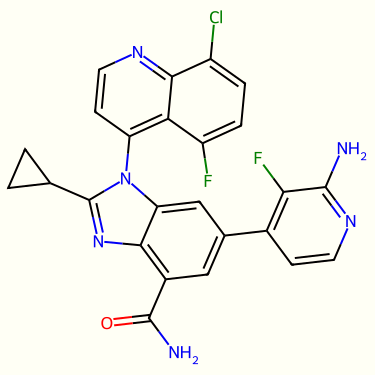 NC(=O)c1cc(-c2ccnc(N)c2F)cc2c1nc(C1CC1)n2-c1ccnc2c(Cl)ccc(F)c12